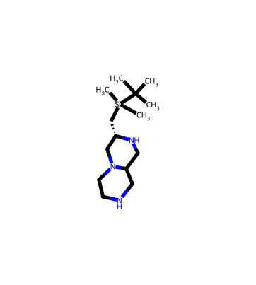 CC(C)(C)[Si](C)(C)C[C@H]1CN2CCNCC2CN1